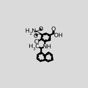 CC(Nc1cc(C(=O)O)cc(S(N)(=O)=O)c1Cl)c1cccc2ccccc12